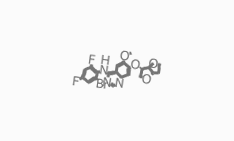 COc1cc2c(Nc3c(F)cc(F)cc3Br)ncnc2cc1O[C@@H]1COC2CCOC21